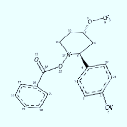 N#Cc1ccc([C@@H]2C[C@@H](OC(F)(F)F)CCN2OC(=O)c2ccccc2)cc1